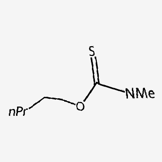 [CH2]CCCOC(=S)NC